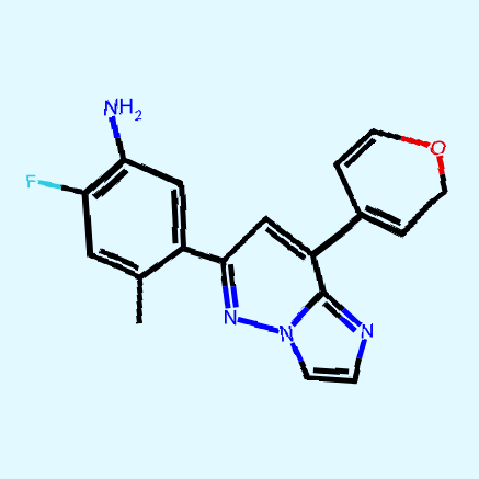 Cc1cc(F)c(N)cc1-c1cc(C2=CCOC=C2)c2nccn2n1